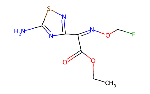 CCOC(=O)C(=NOCF)c1nsc(N)n1